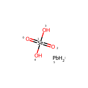 O=[Se](=O)(O)O.[PbH2]